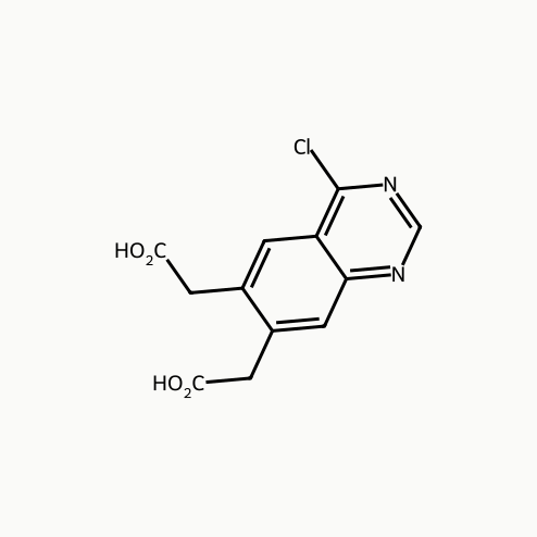 O=C(O)Cc1cc2ncnc(Cl)c2cc1CC(=O)O